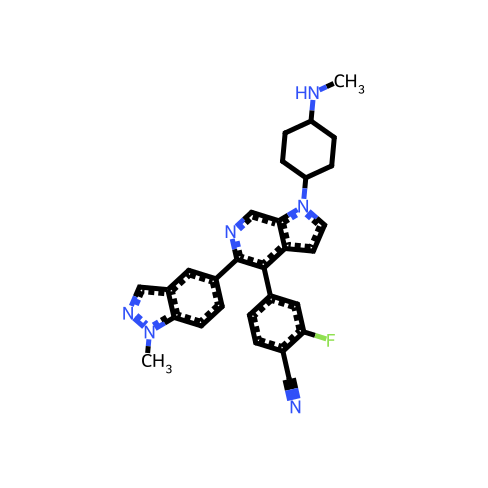 CNC1CCC(n2ccc3c(-c4ccc(C#N)c(F)c4)c(-c4ccc5c(cnn5C)c4)ncc32)CC1